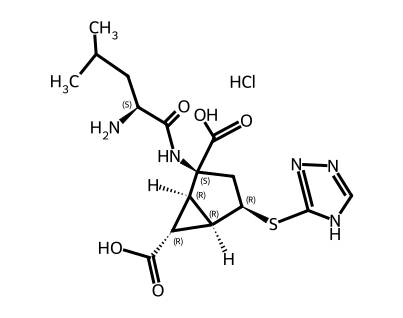 CC(C)C[C@H](N)C(=O)N[C@@]1(C(=O)O)C[C@@H](Sc2nnc[nH]2)[C@H]2[C@H](C(=O)O)[C@H]21.Cl